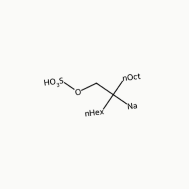 CCCCCCCC[C]([Na])(CCCCCC)COS(=O)(=O)O